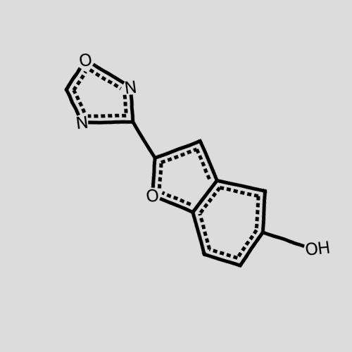 Oc1ccc2oc(-c3ncon3)cc2c1